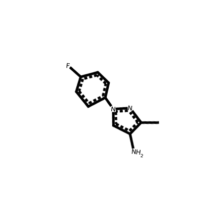 Cc1nn(-c2ccc(F)cc2)cc1N